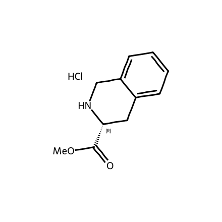 COC(=O)[C@H]1Cc2ccccc2CN1.Cl